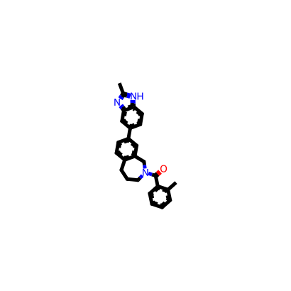 Cc1nc2cc(-c3ccc4c(c3)CN(C(=O)c3ccccc3C)CCC4)ccc2[nH]1